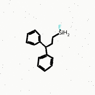 F[SiH2]CCC(c1ccccc1)c1ccccc1